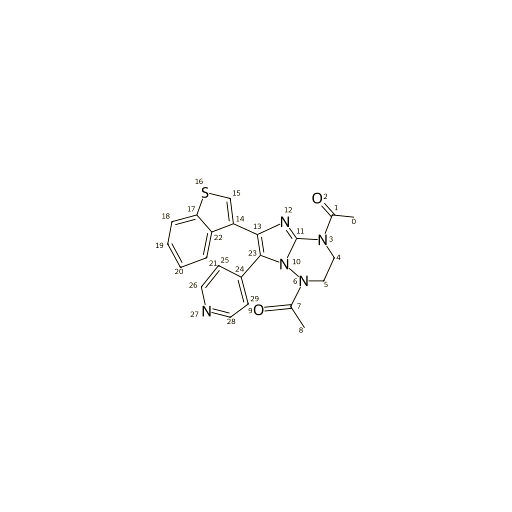 CC(=O)N1CCN(C(C)=O)n2c1nc(-c1csc3ccccc13)c2-c1ccncc1